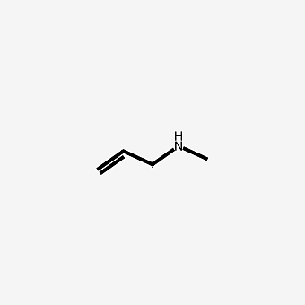 C=C[CH]NC